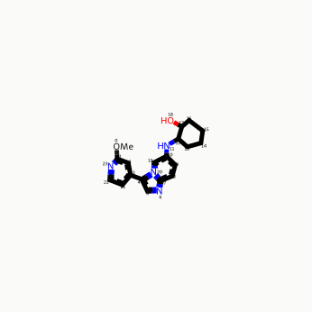 COc1cc(-c2cnc3ccc(NC4CCCCC4O)cn23)ccn1